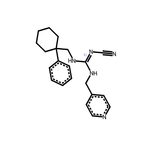 N#C/N=C(\NCc1ccncc1)NCC1(c2ccccc2)CCCCC1